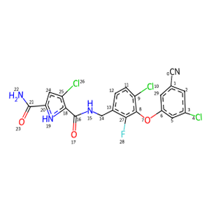 N#Cc1cc(Cl)cc(Oc2c(Cl)ccc(CNC(=O)c3[nH]c(C(N)=O)cc3Cl)c2F)c1